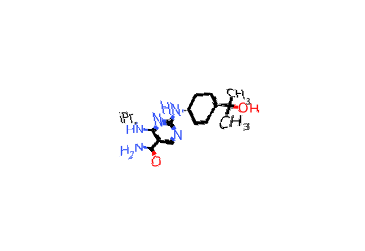 CC(C)Nc1nc(N[C@H]2CC[C@H](C(C)(C)O)CC2)ncc1C(N)=O